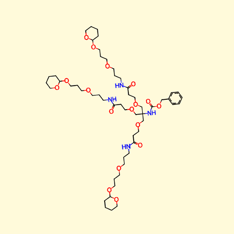 O=C(CCOCC(COCCC(=O)NCCCOCCCOC1CCCCO1)(COCCC(=O)NCCCOCCCOC1CCCCO1)NC(=O)OCc1ccccc1)NCCCOCCCOC1CCCCO1